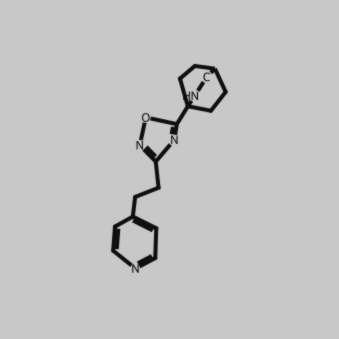 c1cc(CCc2noc(C34CCC(CC3)CN4)n2)ccn1